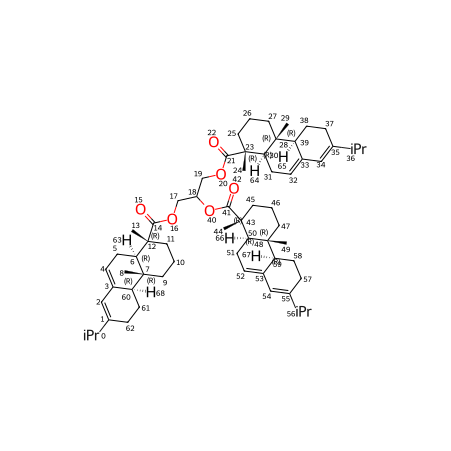 CC(C)C1=CC2=CC[C@@H]3[C@](C)(CCC[C@@]3(C)C(=O)OCC(COC(=O)[C@]3(C)CCC[C@@]4(C)[C@H]3CC=C3C=C(C(C)C)CC[C@@H]34)OC(=O)[C@]3(C)CCC[C@@]4(C)[C@H]3CC=C3C=C(C(C)C)CC[C@@H]34)[C@H]2CC1